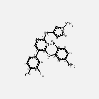 Cn1cc(Nc2ncc(-c3ccc(Cl)c(F)c3)c(Oc3cc(N)ccc3F)n2)cn1